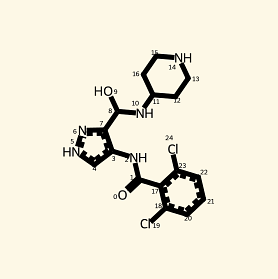 O=C(Nc1c[nH]nc1C(O)NC1CCNCC1)c1c(Cl)cccc1Cl